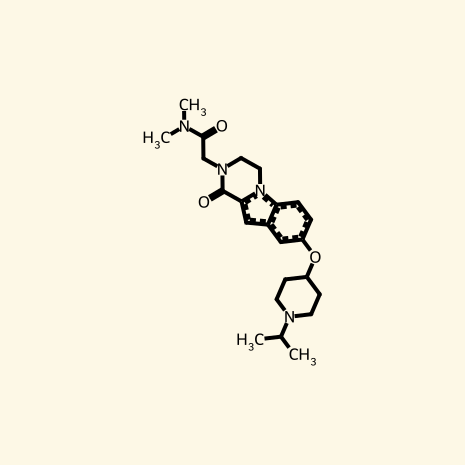 CC(C)N1CCC(Oc2ccc3c(c2)cc2n3CCN(CC(=O)N(C)C)C2=O)CC1